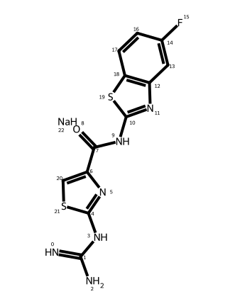 N=C(N)Nc1nc(C(=O)Nc2nc3cc(F)ccc3s2)cs1.[NaH]